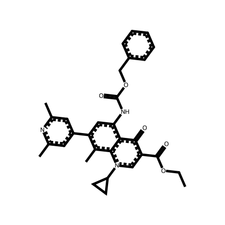 CCOC(=O)c1cn(C2CC2)c2c(C)c(-c3cc(C)nc(C)c3)cc(NC(=O)OCc3ccccc3)c2c1=O